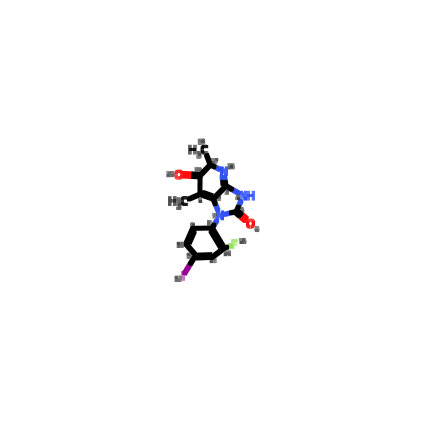 CC1=c2c([nH]c(=O)n2-c2ccc(I)cc2F)=NC(C)C1=O